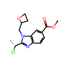 COC(=O)c1ccc2nc([C@@H](C)Cl)n(CC3CCO3)c2c1